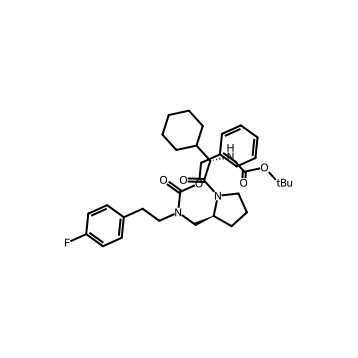 CC(C)(C)OC(=O)N[C@H](C(=O)N1CCC[C@H]1CN(CCc1ccc(F)cc1)C(=O)OCc1ccccc1)C1CCCCC1